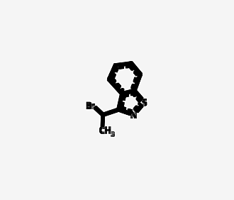 CC(Br)c1nsc2ccccc12